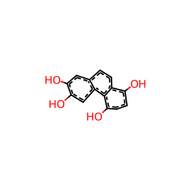 Oc1cc2ccc3c(O)ccc(O)c3c2cc1O